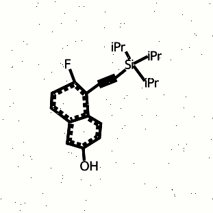 CC(C)[Si](C#Cc1c(F)ccc2cc(O)ccc12)(C(C)C)C(C)C